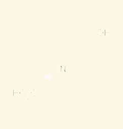 O=C(O)/C=C/N1CCC(CO)CC1